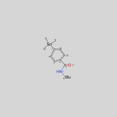 CC(C)(C)NC(=O)c1ccc([Si](C)(C)C)cc1